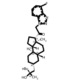 CCCC[C@@](C)(O)C[C@@H]1CC[C@@H]2[C@H](CC[C@]3(C)[C@@H](C(=O)Cn4nnc5c(F)cccc54)CC[C@@H]23)C1